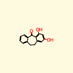 O=C1c2ccccc2CCc2cc(O)cc(O)c21